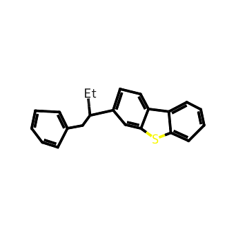 CCC(Cc1ccccc1)c1ccc2c(c1)sc1ccccc12